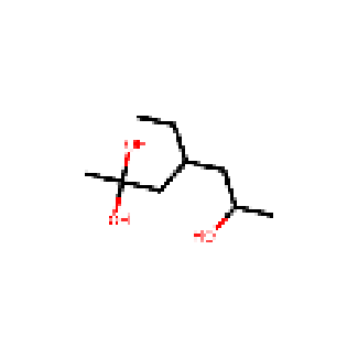 CCC(CC(C)O)CC(C)(O)O